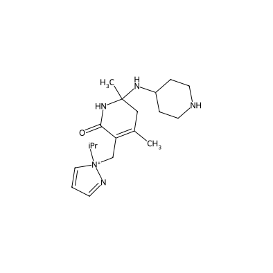 CC1=C(C[N+]2(C(C)C)C=CC=N2)C(=O)NC(C)(NC2CCNCC2)C1